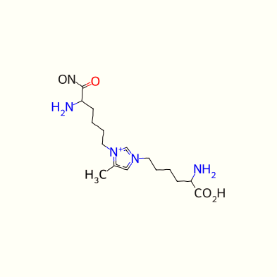 Cc1cn(CCCCC(N)C(=O)O)c[n+]1CCCCC(N)C(=O)N=O